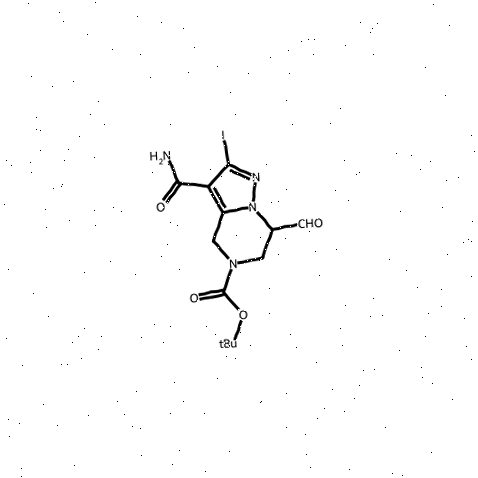 CC(C)(C)OC(=O)N1Cc2c(C(N)=O)c(I)nn2C(C=O)C1